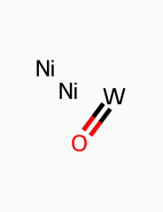 [Ni].[Ni].[O]=[W]